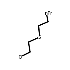 CCCCCSCC[O]